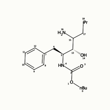 CCCCOC(=O)N[C@@H](Cc1ccccc1)[C@@H](O)C(N)CC(C)C